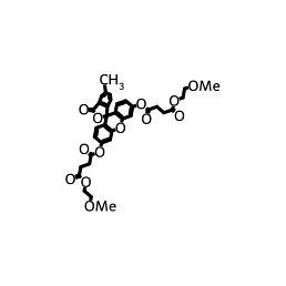 COCCOC(=O)CCC(=O)Oc1ccc2c(c1)Oc1cc(OC(=O)CCC(=O)OCCOC)ccc1C21OC(=O)c2cc(C)ccc21